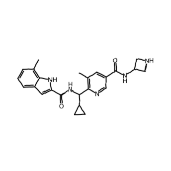 Cc1cc(C(=O)NC2CNC2)cnc1C(NC(=O)c1cc2cccc(C)c2[nH]1)C1CC1